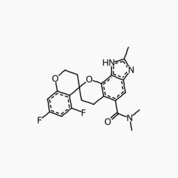 Cc1nc2cc(C(=O)N(C)C)c3c(c2[nH]1)OC1(CCOc2cc(F)cc(F)c21)CC3